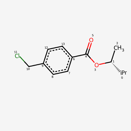 CC(C)[C@@H](C)OC(=O)c1ccc(CCl)cc1